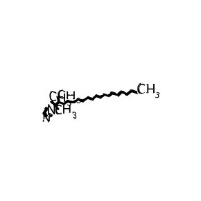 CCCCCCCCCCCCCCCCCCC(CC)C(C)(CC)n1ccnc1